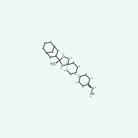 C[C@@]1(C2CC3CCCC(C3)C2)OO[C@]2(CC[C@@H](C3CCC(=NO)CC3)CC2)O1